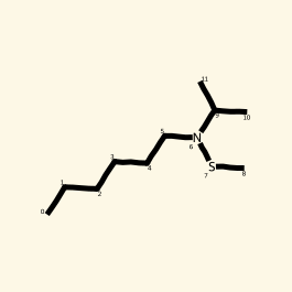 CCCCCCN(SC)C(C)C